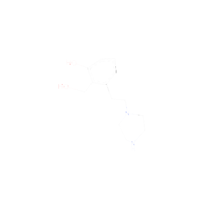 OCc1c(O)cccc1CCN1CCNCC1